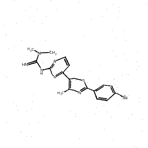 Cc1nc(-c2ccc(C(C)(C)C)cc2)sc1-c1ccnc(NC(=N)N(C)C)n1